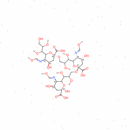 COC=N[C@H]1C(C(OC)C(CO)OC)O[C@@](OCC(OC)C(OC)C2O[C@@](OCC(OC)C(OC)C3O[C@@](O)(C(=O)O)C[C@@H](O)[C@H]3N=COC)(C(=O)O)C[C@@H](O)[C@H]2N=COC)(C(=O)O)C[C@H]1O